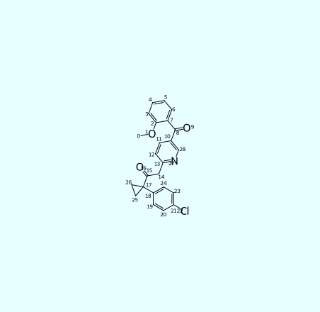 COc1ccccc1C(=O)c1ccc(CC(=O)C2(c3ccc(Cl)cc3)CC2)nc1